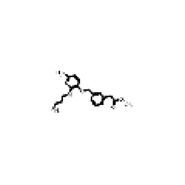 CCCCNc1nc(N)ccc1OCc1cccc(CC(=O)OC)c1